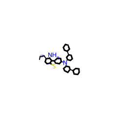 C/C=C\c1ccc2sc3cc(N(c4cccc(-c5ccccc5)c4)c4cccc(-c5ccccc5)c4)ccc3c2c1N